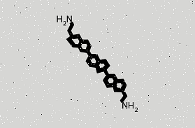 NCCC1=CC2=CC=C(c3ccc4cc(-c5ccc6cc(CCN)ccc6c5)ccc4c3)CC2C=C1